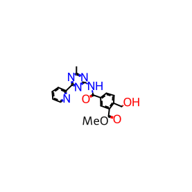 COC(=O)c1cc(C(=O)Nc2nc(C)nc(-c3ccccn3)n2)ccc1CO